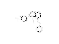 c1cncc(CNc2cccc3ccc(-c4ccc5c(c4)OCO5)nc23)c1